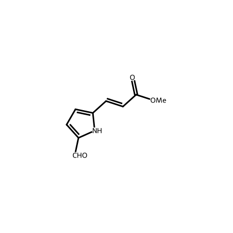 COC(=O)C=Cc1ccc(C=O)[nH]1